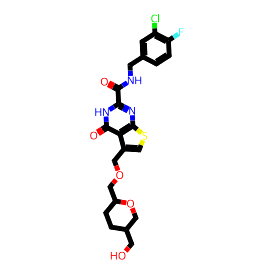 O=C(NCc1ccc(F)c(Cl)c1)c1nc2scc(COCC3CCC(CO)CO3)c2c(=O)[nH]1